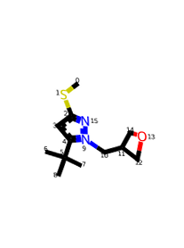 CSc1cc(C(C)(C)C)n(CC2COC2)n1